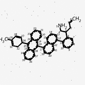 C=CCC(CN)c1ccccc1-c1cccc2c(-c3c4ccccc4c(C4C=CC(C)=CC4)c4ccccc34)cccc12